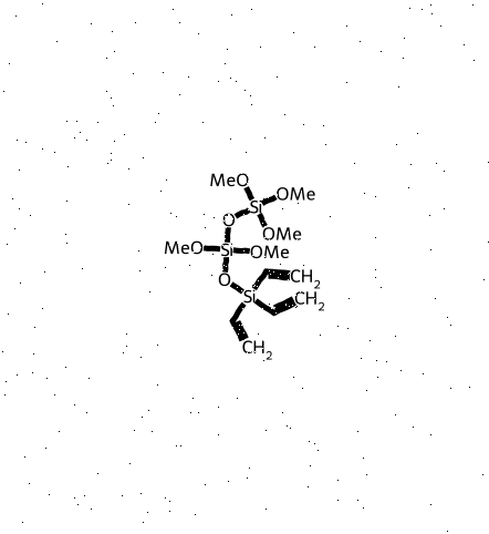 C=C[Si](C=C)(C=C)O[Si](OC)(OC)O[Si](OC)(OC)OC